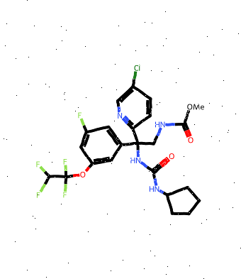 COC(=O)NCC(NC(=O)NC1CCCC1)(c1cc(F)cc(OC(F)(F)C(F)F)c1)c1ccc(Cl)cn1